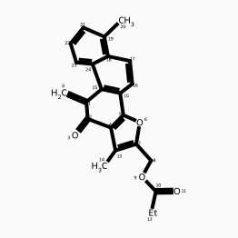 C=C1C(=O)c2c(oc(COC(=O)CC)c2C)-c2ccc3c(C)cccc3c21